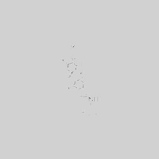 O=C(Cc1cc(I)c(Oc2cc(I)c(OCC3CO3)c(I)c2)c(I)c1)NC1CCCCC1